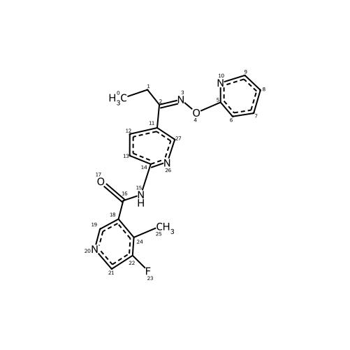 CCC(=NOc1ccccn1)c1ccc(NC(=O)c2cncc(F)c2C)nc1